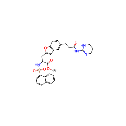 CC(C)OC(=O)C(Cc1cc2cc(CCC(=O)NC3=NCCCN3)ccc2o1)NS(=O)(=O)c1cccc2ccccc12